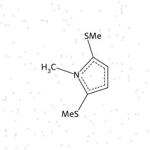 CSc1ccc(SC)n1C